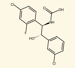 O=C(O)N[C@H](c1ccc(Cl)cc1F)[C@@H](O)c1cccc(Cl)c1